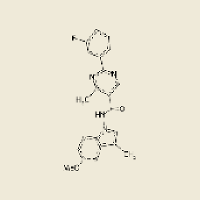 COc1ccc2c(c1)c(C)cn2NC(=O)c1cnc(-c2cccc(F)c2)nc1C